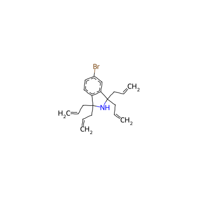 C=CCC1(CC=C)NC(CC=C)(CC=C)c2cc(Br)ccc21